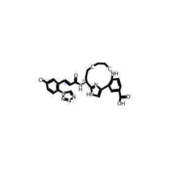 O=C(/C=C/c1cc(Cl)ccc1-n1cnnn1)N[C@H]1CCCCCCNc2ccc(C(=O)O)cc2-c2c[nH]c1n2